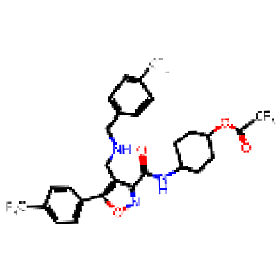 O=C(NC1CCC(OC(=O)C(F)(F)F)CC1)c1noc(-c2ccc(C(F)(F)F)cc2)c1CNCc1ccc(C(F)(F)F)cc1